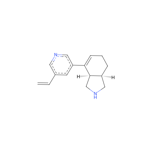 C=Cc1cncc(C2=CCC[C@H]3CNC[C@@H]23)c1